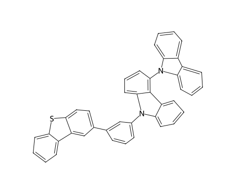 c1cc(-c2ccc3sc4ccccc4c3c2)cc(-n2c3ccccc3c3c(-n4c5ccccc5c5ccccc54)cccc32)c1